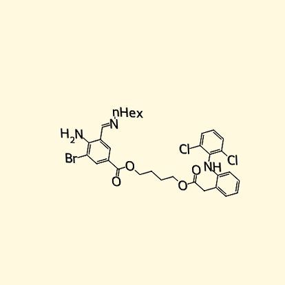 CCCCCCN=Cc1cc(C(=O)OCCCCOC(=O)Cc2ccccc2Nc2c(Cl)cccc2Cl)cc(Br)c1N